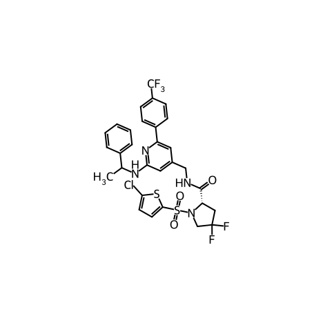 CC(Nc1cc(CNC(=O)[C@@H]2CC(F)(F)CN2S(=O)(=O)c2ccc(Cl)s2)cc(-c2ccc(C(F)(F)F)cc2)n1)c1ccccc1